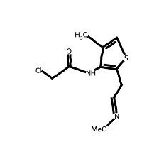 CON=CCc1scc(C)c1NC(=O)CCl